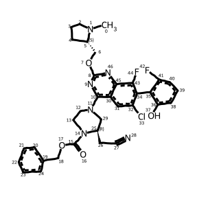 CN1CCC[C@H]1COc1nc(N2CCN(C(=O)OCc3ccccc3)[C@H](CC#N)C2)c2cc(Cl)c(-c3c(O)cccc3F)c(F)c2n1